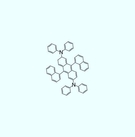 C1=c2c(-c3cccc4ccccc34)c3ccc(N(c4ccccc4)c4ccccc4)cc3c(-c3cccc4ccccc34)c2=CCC1N(c1ccccc1)c1ccccc1